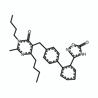 CCCCc1nc(C)n(CCCC)c(=O)c1Cc1ccc(-c2ccccc2-c2noc(=O)[nH]2)cc1